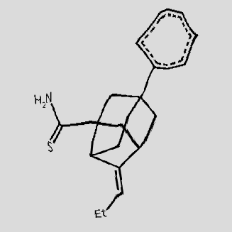 CC/C=C1/C2CC3(c4ccccc4)CC1C(C(N)=S)(C2)C3